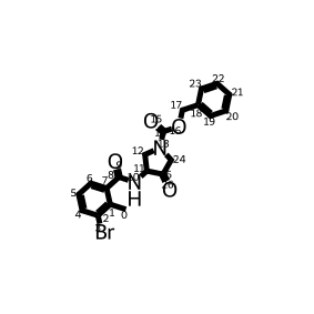 Cc1c(Br)cccc1C(=O)NC1CN(C(=O)OCc2ccccc2)CC1=O